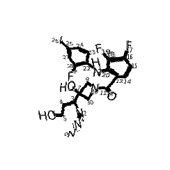 [N-]=[N+]=NC(CCO)C1(O)CN(C(=O)c2ccc(F)c(F)c2Nc2ccc(I)cc2F)C1